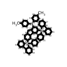 Cc1ccc(N(c2ccc(C)cc2)c2cc([Si]3(c4ccccc4)c4ccccc4-c4ccccc43)cc3c2Cc2ccc([Si]4(c5ccccc5)c5ccccc5-c5ccccc54)cc2-3)cc1